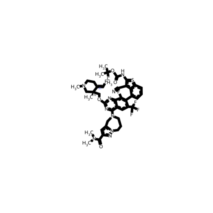 CN1CC/C(=C\F)[C@](C)(COc2nc(N3CCCn4nc(C(=O)N(C)C)cc4C3)c3cc(C(F)(F)F)c(-c4cccc5sc(NC(=O)OC(C)(C)C)c(C#N)c45)c(F)c3n2)C1